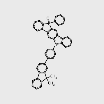 CC1(C)c2ccccc2-c2ccc(-c3ccc(-n4c5ccccc5c5cc6c(cc54)-c4ccccc4P6(=O)c4ccccc4)cc3)cc21